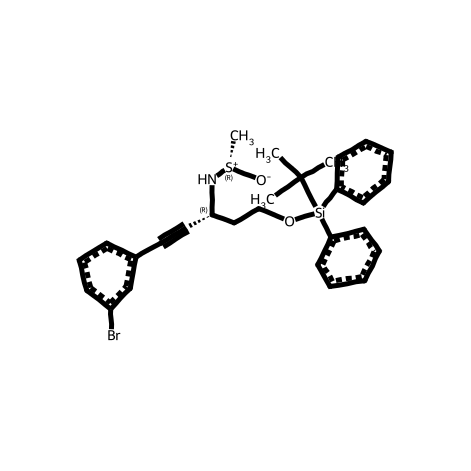 C[S@+]([O-])N[C@@H](C#Cc1cccc(Br)c1)CCO[Si](c1ccccc1)(c1ccccc1)C(C)(C)C